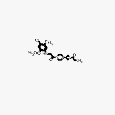 C=CC(=O)N1CC(N2CCN(C(=O)CNc3cc(C)c(Cl)cc3OC)CC2)C1